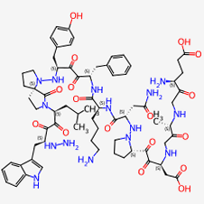 CC(C)C[C@@H](C(=O)C(=O)[C@H](Cc1c[nH]c2ccccc12)NN)N1CC[C@@]2(CCCN2N[C@@H](Cc2ccc(O)cc2)C(=O)C(=O)[C@H](Cc2ccccc2)NC(=O)[C@H](CCCCN)NC(=O)[C@H](CC(N)=O)NN2CCC[C@H]2C(=O)C(=O)[C@H](CC(=O)O)NCC(=O)[C@H](C)NCC(=O)[C@@H](N)CCC(=O)O)C1=O